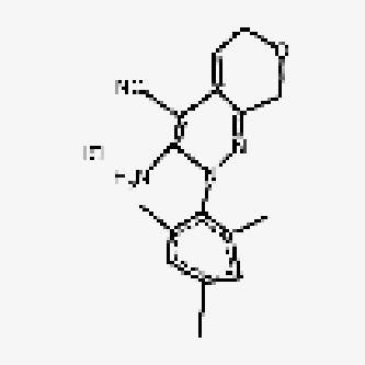 Cc1cc(C)c(N2N=C3COCC=C3C(C#N)=C2N)c(C)c1.Cl